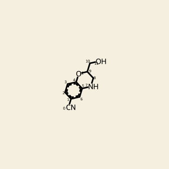 N#Cc1ccc2c(c1)NCC(CO)O2